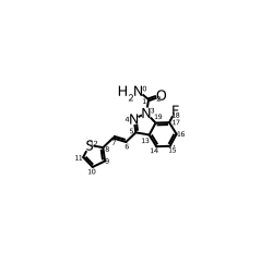 NC(=O)n1nc(C=Cc2cccs2)c2c[c]cc(F)c21